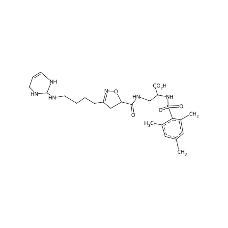 Cc1cc(C)c(S(=O)(=O)NC(CNC(=O)C2CC(CCCCNC3NC=CCN3)=NO2)C(=O)O)c(C)c1